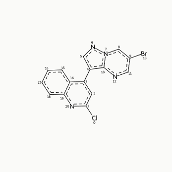 Clc1cc(-c2cnn3cc(Br)cnc23)c2ccccc2n1